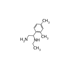 CCNC(CN)c1ccc(C)cc1C